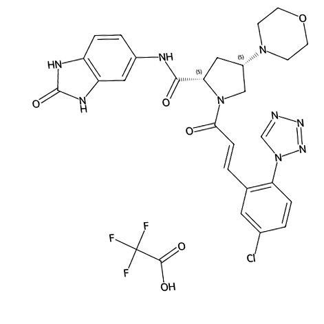 O=C(Nc1ccc2[nH]c(=O)[nH]c2c1)[C@@H]1C[C@H](N2CCOCC2)CN1C(=O)C=Cc1cc(Cl)ccc1-n1cnnn1.O=C(O)C(F)(F)F